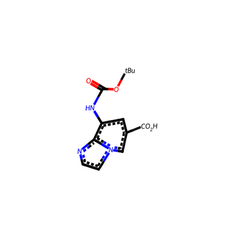 CC(C)(C)OC(=O)Nc1cc(C(=O)O)cn2ccnc12